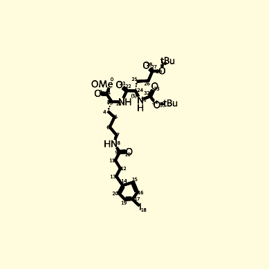 COC(=O)[C@@H](CCCCNC(=O)CCCc1ccc(I)cc1)NC(=O)[C@H](CCC(=O)OC(C)(C)C)NC(=O)OC(C)(C)C